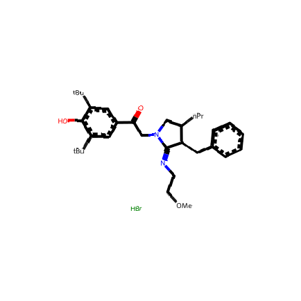 Br.CCCC1CN(CC(=O)c2cc(C(C)(C)C)c(O)c(C(C)(C)C)c2)/C(=N/CCOC)C1Cc1ccccc1